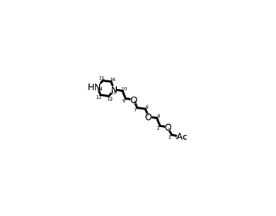 CC(=O)COCCOCCOCCN1CCNCC1